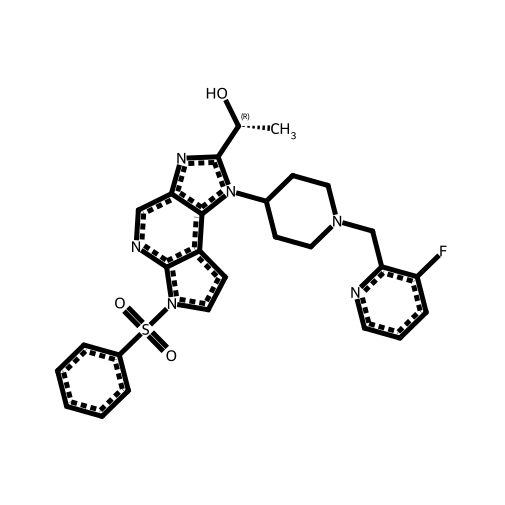 C[C@@H](O)c1nc2cnc3c(ccn3S(=O)(=O)c3ccccc3)c2n1C1CCN(Cc2ncccc2F)CC1